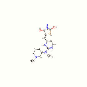 CN1CCCC(N(C)c2nccc(/C=C3\SC(=O)NC3=O)n2)C1